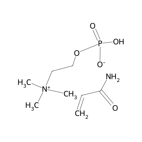 C=CC(N)=O.C[N+](C)(C)CCOP(=O)([O-])O